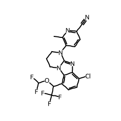 Cc1nc(C#N)ccc1N1CCCn2c1nc1c(Cl)ccc(C(OC(F)F)C(F)(F)F)c12